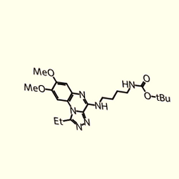 CCc1nnc2c(NCCCCNC(=O)OC(C)(C)C)nc3cc(OC)c(OC)cc3n12